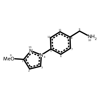 COc1ccn(-c2ccc(CN)cc2)n1